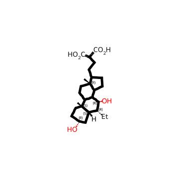 CC[C@H]1[C@@H](O)C2C3CCC(CCC(C(=O)O)C(=O)O)[C@@]3(C)CCC2[C@@]2(C)CC[C@@H](O)C[C@@H]12